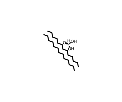 CCCCCCCCCCCCC.CCCCCCCCCCCCC.O=[PH](O)O